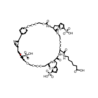 O=C(O)CCCCCNC(=O)C1CCCCNC(=O)C(Cc2ccc(S(=O)(=O)O)s2)NC(=O)CCCCC[n+]2ccc(cc2)-c2ncc(o2)-c2ccc(c(S(=O)(=O)O)c2)OCCCCCC(=O)NC(Cc2ccc(S(=O)(=O)O)s2)C(=O)N1